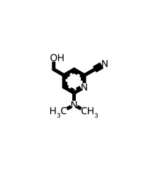 CN(C)c1cc(CO)cc(C#N)n1